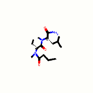 CCCC(=O)N(C)[C@H](CC)C(=O)N(C)[C@@H](CC(C)C)C(N)=O